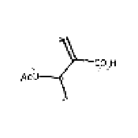 C=C(C(=O)O)C(C)OC(C)=O